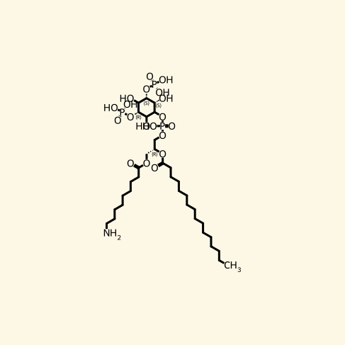 CCCCCCCCCCCCCCCC(=O)O[C@H](COC(=O)CCCCCCCCN)COP(=O)(O)OC1C(O)[C@H](OP(=O)(O)O)C(O)[C@H](OP(=O)(O)O)[C@@H]1O